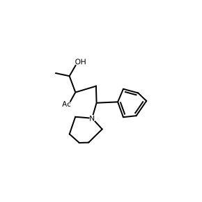 CC(=O)C(CC(c1ccccc1)N1CCCCC1)C(C)O